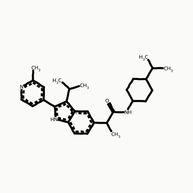 Cc1cc(-c2[nH]c3ccc(C(C)C(=O)NC4CCC(C(C)C)CC4)cc3c2C(C)C)ccn1